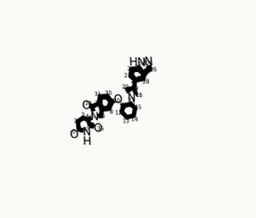 O=C1CCC(N2Cc3cc(O[C@H]4CCCC[C@H]4N4CC(c5ccc6[nH]ncc6c5)C4)ccc3C2=O)C(=O)N1